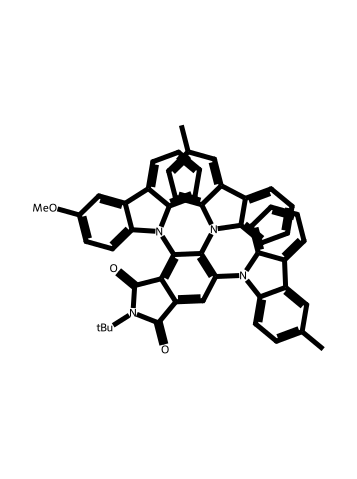 COc1ccc2c(c1)c1ccccc1n2-c1c2c(cc(-n3c4ccccc4c4cc(C)ccc43)c1-n1c3ccccc3c3cc(C)ccc31)C(=O)N(C(C)(C)C)C2=O